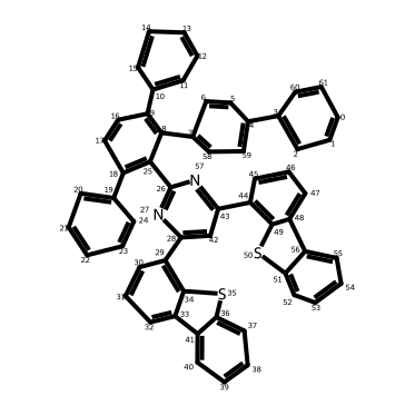 c1ccc(-c2ccc(-c3c(-c4ccccc4)ccc(-c4ccccc4)c3-c3nc(-c4cccc5c4sc4ccccc45)cc(-c4cccc5c4sc4ccccc45)n3)cc2)cc1